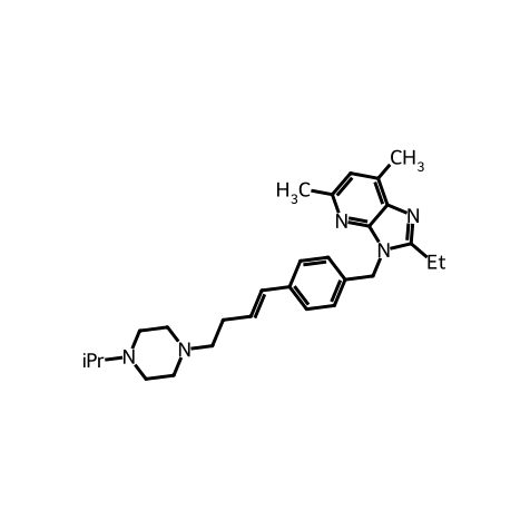 CCc1nc2c(C)cc(C)nc2n1Cc1ccc(/C=C/CCN2CCN(C(C)C)CC2)cc1